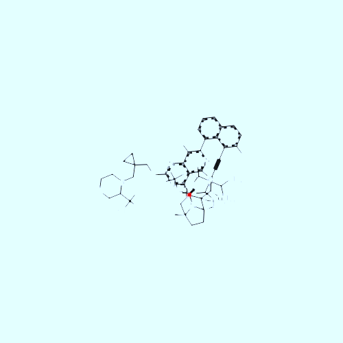 [2H]C([2H])([2H])C1COCCN1CC1(COc2nc3c4c(nc(-c5cccc6ccc(F)c(C#C[Si](C(C)C)(C(C)C)C(C)C)c56)c(F)c4n2)O[C@@H](C)[C@@H]2[C@@H]4CC[C@H](CN32)N4C(=O)OC(C)(C)C)CC1